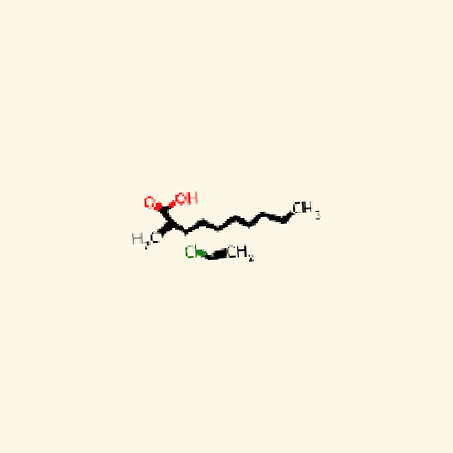 C=C(CCCCCCCC)C(=O)O.C=CCl